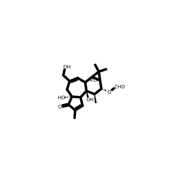 CC(=O)O[C@]12C(C3C=C(CO)C[C@]4(O)C(=O)C(C)=CC4[C@@]3(O)[C@H](C)[C@H]1OC=O)C2(C)C